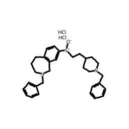 Cl.Cl.[O-][S+](CCC1CCN(Cc2ccccc2)CC1)c1ccc2c(c1)CN(Cc1ccccc1)CCC2